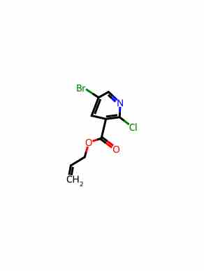 C=CCOC(=O)c1cc(Br)cnc1Cl